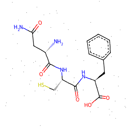 NC(=O)C[C@H](N)C(=O)N[C@@H](CS)C(=O)N[C@@H](Cc1ccccc1)C(=O)O